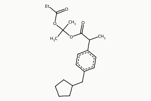 CCC(=O)OC(C)(C)OC(=O)C(C)c1ccc(CC2CCCC2)cc1